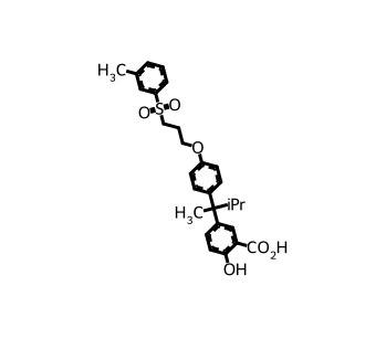 Cc1cccc(S(=O)(=O)CCCOc2ccc(C(C)(c3ccc(O)c(C(=O)O)c3)C(C)C)cc2)c1